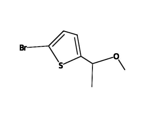 COC(C)c1ccc(Br)s1